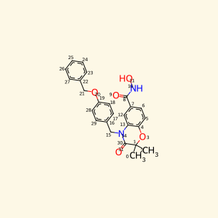 CC1(C)Oc2ccc(C(=O)NO)cc2N(Cc2ccc(OCc3ccccc3)cc2)C1=O